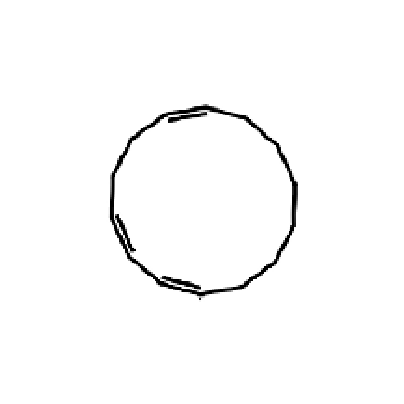 [C]1=CC=CCCC=CCCCCCC1